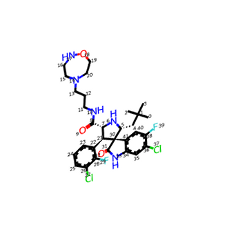 CC(C)(C)C[C@H]1N[C@@H](C(=O)NCCCN2CCNOCC2)[C@H](c2cccc(Cl)c2F)[C@@]12C(=O)Nc1cc(Cl)c(F)cc12